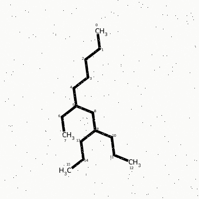 CCCCCC(CC)CC(CCC)CCC